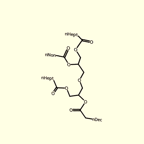 CCCCCCCCCCCC(=O)OC(COCC(COC(=O)CCCCCCC)OC(=O)CCCCCCCCC)COC(=O)CCCCCCC